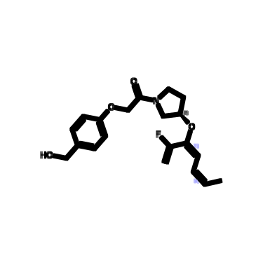 C=C(F)/C(=C\C=C/C)O[C@@H]1CCN(C(=O)COc2ccc(CO)cc2)C1